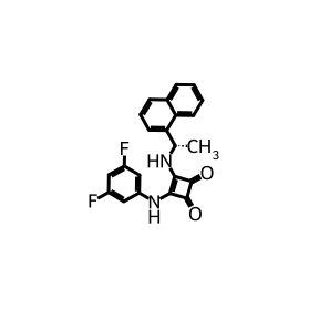 C[C@H](Nc1c(Nc2cc(F)cc(F)c2)c(=O)c1=O)c1cccc2ccccc12